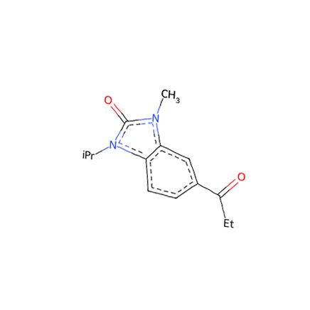 CCC(=O)c1ccc2c(c1)n(C)c(=O)n2C(C)C